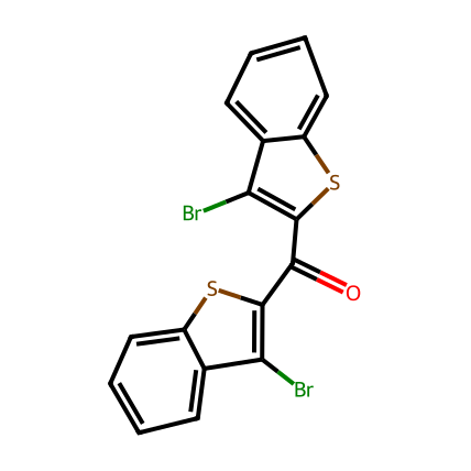 O=C(c1sc2ccccc2c1Br)c1sc2ccccc2c1Br